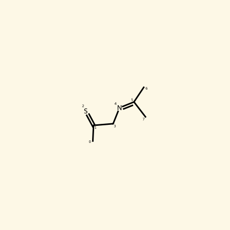 CC(=S)CN=C(C)C